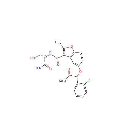 COC(=O)C(Oc1ccc2oc(C)c(C(=O)N[C@@H](CO)C(N)=O)c2c1)c1ccccc1F